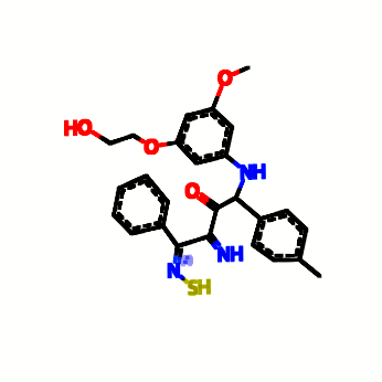 COc1cc(NC(C(=O)C(=N)/C(=N\S)c2ccccc2)c2ccc(C)cc2)cc(OCCO)c1